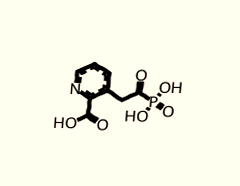 O=C(O)c1ncccc1CC(=O)P(=O)(O)O